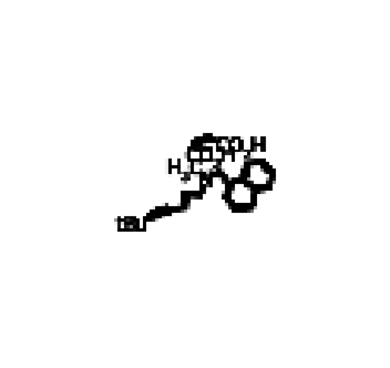 CN(C/C=C/C#CC(C)(C)C)Cc1cccc2ccccc12.O=C(O)/C=C\C(=O)O